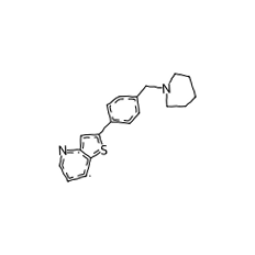 [c]1ccnc2cc(-c3ccc(CN4CCCCC4)cc3)sc12